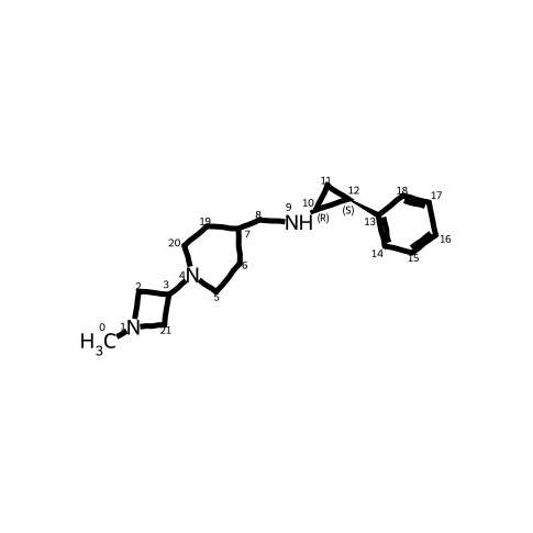 CN1CC(N2CCC(CN[C@@H]3C[C@H]3c3ccccc3)CC2)C1